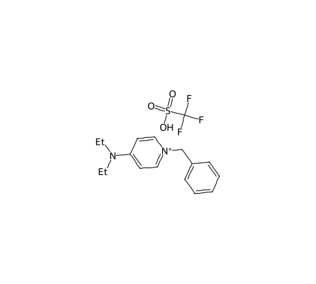 CCN(CC)c1cc[n+](Cc2ccccc2)cc1.O=S(=O)(O)C(F)(F)F